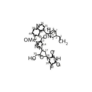 C=CC1C[N@@]2CCC1C[C@H]2[C@H](OCc1cn(C2CC(n3cc(F)c(=O)[nH]c3=O)OC2CO)nn1)c1ccnc2ccc(OC)cc12